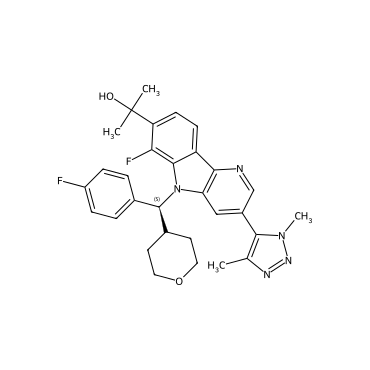 Cc1nnn(C)c1-c1cnc2c3ccc(C(C)(C)O)c(F)c3n([C@H](c3ccc(F)cc3)C3CCOCC3)c2c1